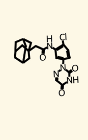 O=C(CC12CC3CC(CC(C3)C1)C2)Nc1cc(-n2ncc(=O)[nH]c2=O)ccc1Cl